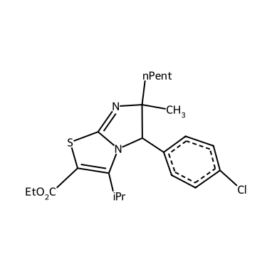 CCCCCC1(C)N=C2SC(C(=O)OCC)=C(C(C)C)N2C1c1ccc(Cl)cc1